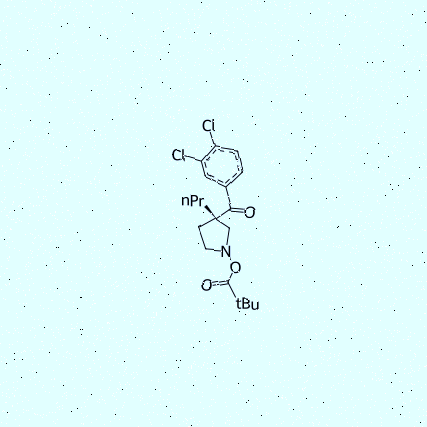 CCC[C@]1(C(=O)c2ccc(Cl)c(Cl)c2)CCN(OC(=O)C(C)(C)C)C1